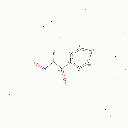 O=NC(F)C(=O)c1ccccc1